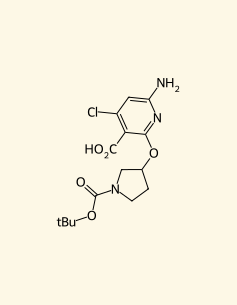 CC(C)(C)OC(=O)N1CCC(Oc2nc(N)cc(Cl)c2C(=O)O)C1